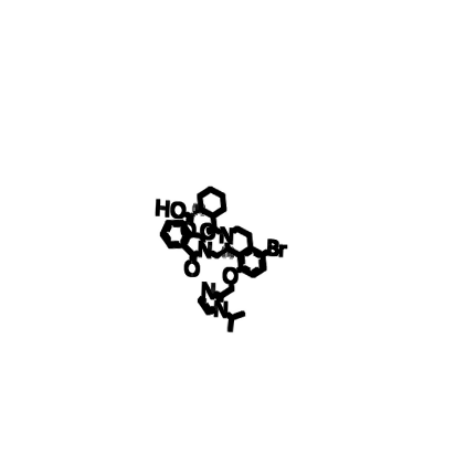 CC(C)n1ccnc1COc1ccc(Br)c2c1[C@@H](CN1Cc3ccccc3C1=O)N(C(=O)C1CCCC[C@H]1C(=O)O)CC2